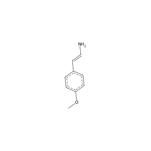 COc1ccc(C=CN)cc1